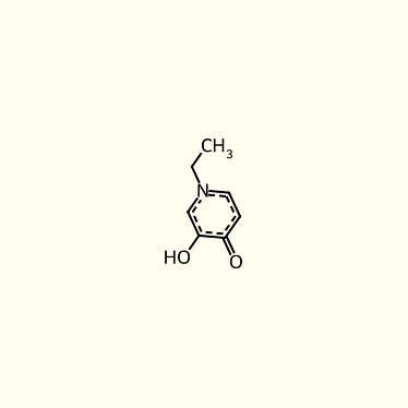 CCn1ccc(=O)c(O)c1